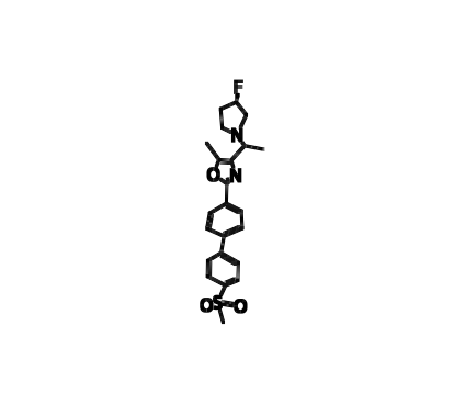 Cc1oc(-c2ccc(-c3ccc(S(C)(=O)=O)cc3)cc2)nc1C(C)N1CC[C@@H](F)C1